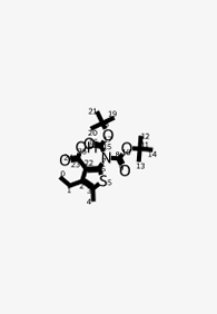 CCc1c(C)sc(N(C(=O)OC(C)(C)C)C(=O)OC(C)(C)C)c1C(=O)O